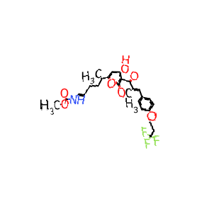 COC(=O)N/C=C/CCC(C)c1cc(O)c(C(=O)/C(C)=C/c2ccc(OCCC(F)(F)F)cc2)c(=O)o1